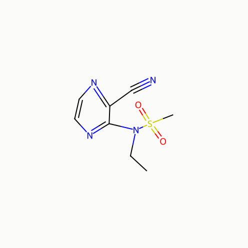 CCN(c1nccnc1C#N)S(C)(=O)=O